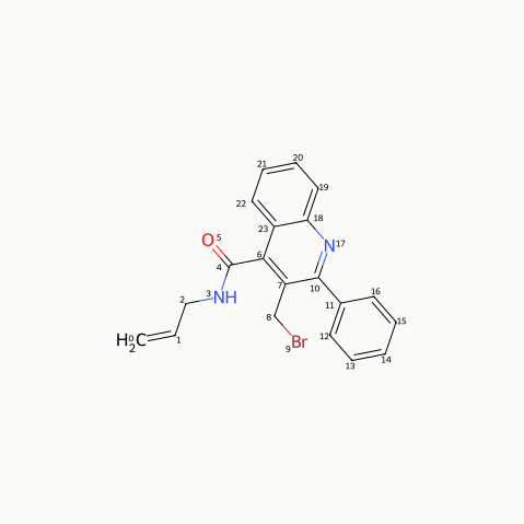 C=CCNC(=O)c1c(CBr)c(-c2ccccc2)nc2ccccc12